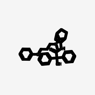 CN(CCCOc1ccccc1)C1C2CCC1C(NC(=O)C(O)(c1ccccc1)c1ccccc1)C2